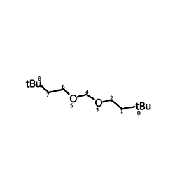 CC(C)(C)CCOCOCCC(C)(C)C